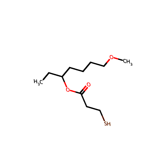 CCC(CCCCOC)OC(=O)CCS